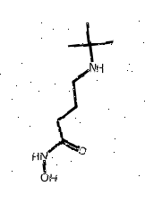 CC(C)(C)NCCCC(=O)NO